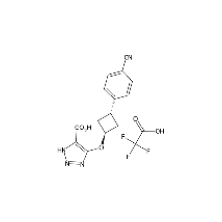 N#Cc1ccc([C@H]2C[C@H](Oc3nn[nH]c3C(=O)O)C2)cc1.O=C(O)C(F)(F)F